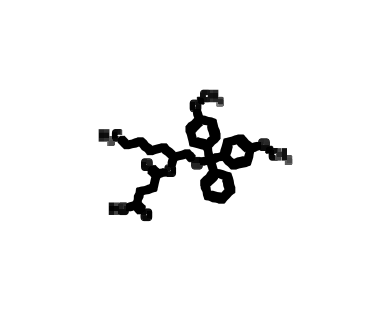 CCCCCC(COC(c1ccccc1)(c1ccc(OC)cc1)c1ccc(OC)cc1)OC(=O)CCC(=O)O